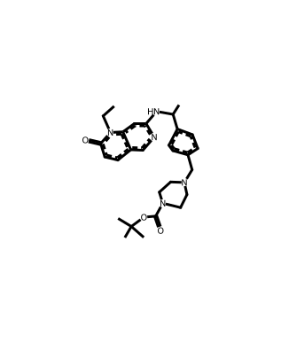 CCn1c(=O)ccc2cnc(NC(C)c3ccc(CN4CCN(C(=O)OC(C)(C)C)CC4)cc3)cc21